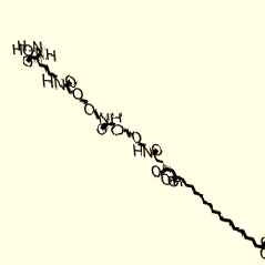 NN[C@@H](CCCCNC(=O)COCCOCCNC(=O)COCCOCCNC(=O)CC[C@H](CC(=O)CCCCCCCCCCCCCCCCC(=O)O)C(=O)O)C(=O)O